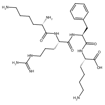 N=C(N)NCCC[C@H](NC(=O)[C@@H](N)CCCCN)C(=O)N[C@@H](Cc1ccccc1)C(=O)N[C@@H](CCCCN)C(=O)O